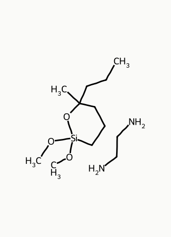 CCCC1(C)CCC[Si](OC)(OC)O1.NCCN